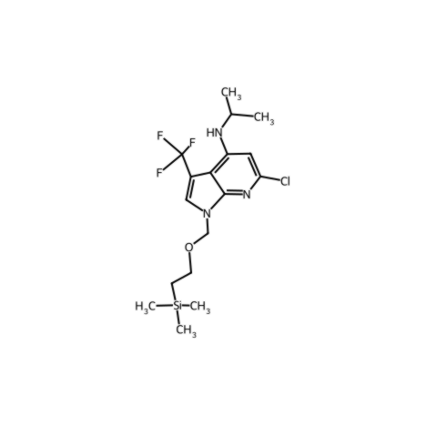 CC(C)Nc1cc(Cl)nc2c1c(C(F)(F)F)cn2COCC[Si](C)(C)C